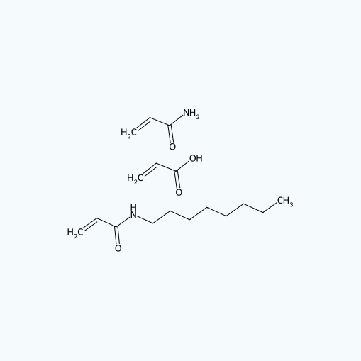 C=CC(=O)NCCCCCCCC.C=CC(=O)O.C=CC(N)=O